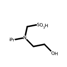 CC(C)N(CCO)CS(=O)(=O)O